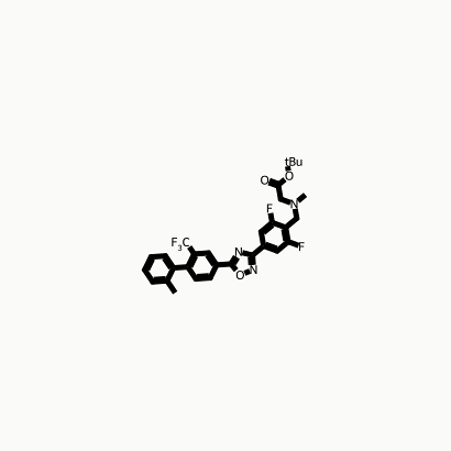 Cc1ccccc1-c1ccc(-c2nc(-c3cc(F)c(CN(C)CC(=O)OC(C)(C)C)c(F)c3)no2)cc1C(F)(F)F